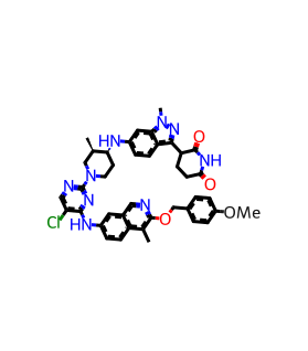 COc1ccc(COc2ncc3cc(Nc4nc(N5CC[C@@H](Nc6ccc7c(C8CCC(=O)NC8=O)nn(C)c7c6)[C@H](C)C5)ncc4Cl)ccc3c2C)cc1